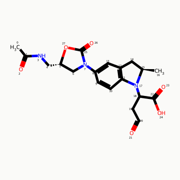 CC(=O)NC[C@H]1CN(c2ccc3c(c2)C[C@@H](C)N3C(CC=O)C(=O)O)C(=O)O1